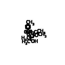 Cc1ccc(S(=O)(=O)OC[C@@](C)(CC(=O)OC(C)(C)C)C(C)O)cc1